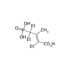 CCC(C(=O)O)=C(C)C(CC)(CC)P(=O)(O)O